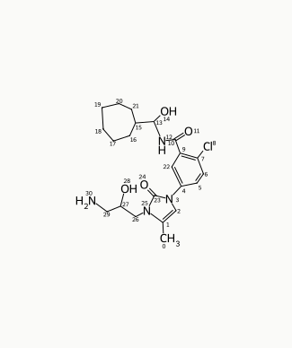 Cc1cn(-c2ccc(Cl)c(C(=O)NC(O)C3CCCCCC3)c2)c(=O)n1CC(O)CN